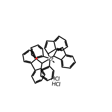 Cl.Cl.[CH3][Zr]([c]1ccccc1)([c]1ccccc1)([CH]1C=Cc2ccccc21)([CH]1C=Cc2ccccc21)[CH]1c2ccccc2-c2ccccc21